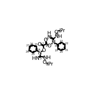 CC(C)ONC(=N)N(OC(=O)C(=O)ON(C(=N)NOC(C)C)c1ccccc1)c1ccccc1